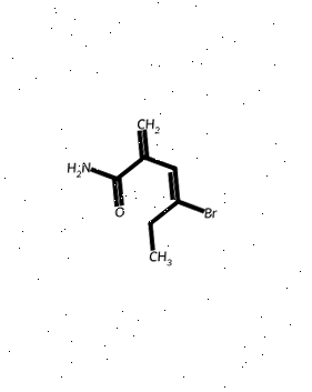 C=C(/C=C(/Br)CC)C(N)=O